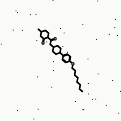 CCCCCCCCOc1ccc(C2CCC(CC(=O)C3CCC(C)CC3=O)CC2)cc1